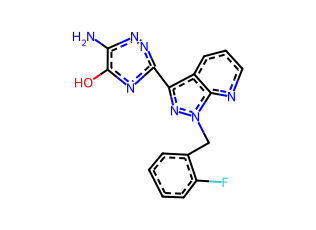 Nc1nnc(-c2nn(Cc3ccccc3F)c3ncccc23)nc1O